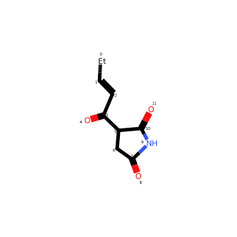 CCC=CC(=O)C1CC(=O)NC1=O